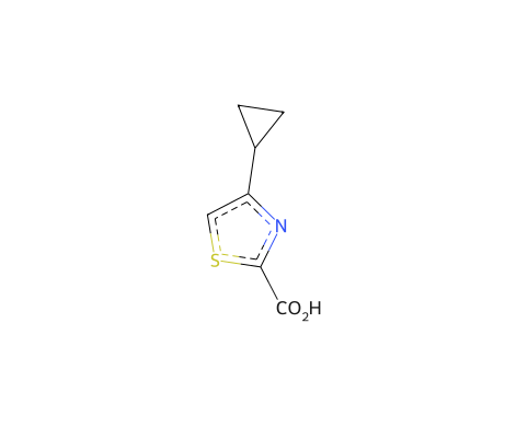 O=C(O)c1nc(C2CC2)cs1